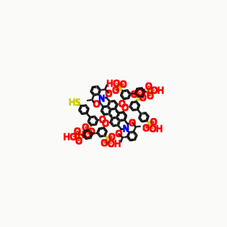 CC(C)c1cccc(C(C)C)c1N1C(=O)c2cc(Oc3cc(-c4ccc(S)cc4)cc(S(=O)(=O)O)c3)c3c4c(Oc5cc(-c6ccc(S(=O)(=O)O)cc6)cc(S(=O)(=O)O)c5)cc5c6c(cc(Oc7cc(-c8ccc(S(=O)(=O)O)cc8)cc(S(=O)(=O)O)c7)c(c7c(Oc8cc(-c9ccc(S(=O)(=O)O)cc9)cc(S(=O)(=O)O)c8)cc(c2c37)C1=O)c64)C(=O)N(c1c(C(C)C)cccc1C(C)C)C5=O